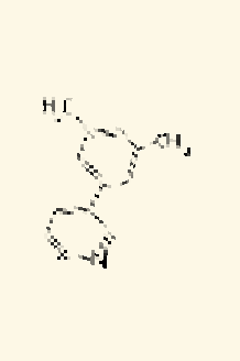 Cc1cc(C)cc(-c2cc[c]nc2)c1